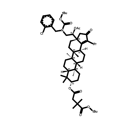 CC(=O)O[C@H](CN(Cc1ccccc1Cl)C(=O)OC(C)(C)C)[C@@]12CC[C@]3(C)[C@H](CC[C@@H]4[C@@]5(C)CC[C@H](OC(=O)CC(C)(C)C(=O)OC(C)(C)C)C(C)(C)[C@@H]5CC[C@]43C)C1=C(C(C)C)C(=O)C2